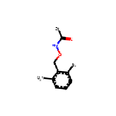 CCC(=O)NOCc1c(CC)cccc1[N+](=O)[O-]